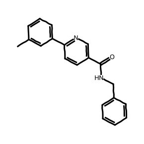 Cc1cccc(-c2ccc(C(=O)NCc3ccccc3)cn2)c1